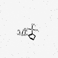 CC(C)O.CC(C)O.CC(C)O.[CH3][Ti]([CH3])([CH3])[C]1=CC=CC1